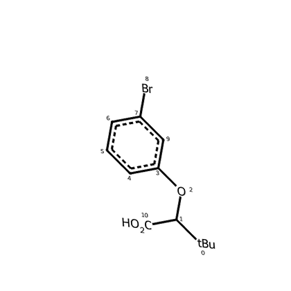 CC(C)(C)C(Oc1cccc(Br)c1)C(=O)O